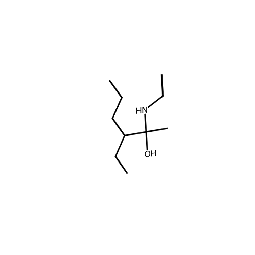 CCCC(CC)C(C)(O)NCC